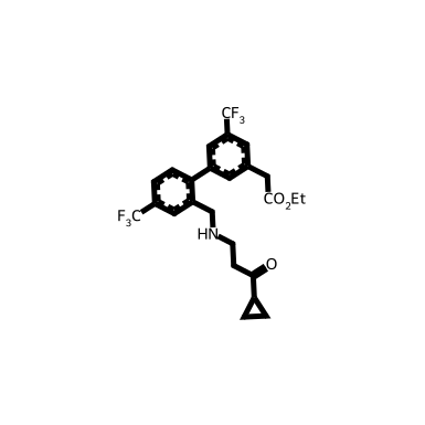 CCOC(=O)Cc1cc(-c2ccc(C(F)(F)F)cc2CNCCC(=O)C2CC2)cc(C(F)(F)F)c1